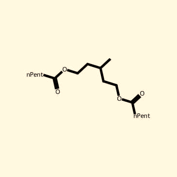 CCCCCC(=O)OCCC(C)CCOC(=O)CCCCC